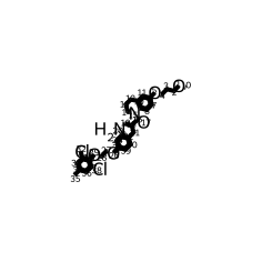 COCCCOc1ccc2c(c1)CCCN2C(=O)C(CN)Cc1ccc(OCCOc2c(Cl)cc(C)cc2Cl)cc1